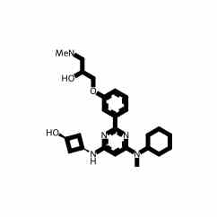 CNCC(O)COc1cccc(-c2nc(N[C@H]3C[C@H](O)C3)cc(N(C)C3CCCCC3)n2)c1